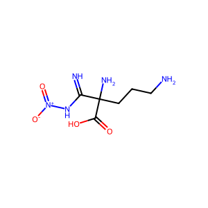 N=C(N[N+](=O)[O-])C(N)(CCCN)C(=O)O